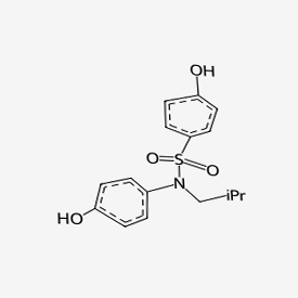 CC(C)CN(c1ccc(O)cc1)S(=O)(=O)c1ccc(O)cc1